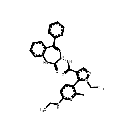 CCNc1ccc(-c2c(C(=O)N[C@H]3N=C(c4ccccc4)c4ccccc4NC3=O)cnn2CC)c(F)n1